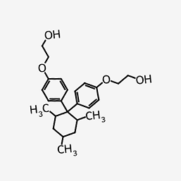 CC1CC(C)C(c2ccc(OCCO)cc2)(c2ccc(OCCO)cc2)C(C)C1